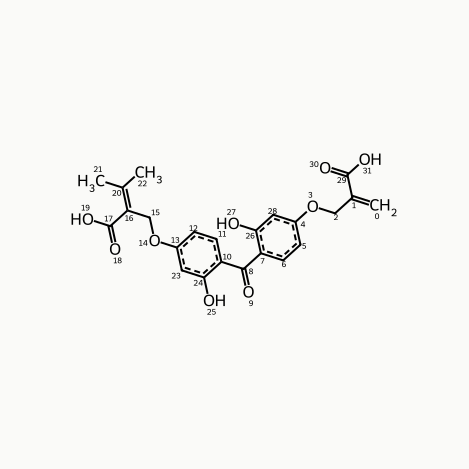 C=C(COc1ccc(C(=O)c2ccc(OCC(C(=O)O)=C(C)C)cc2O)c(O)c1)C(=O)O